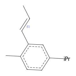 C/C=C/c1cc(C(C)C)ccc1C